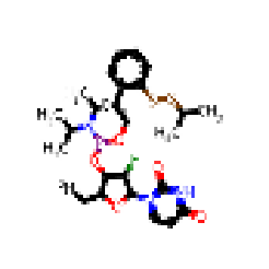 [2H]CC1OC(n2ccc(=O)[nH]c2=O)C(F)C1OP(OCCc1ccccc1SSC(C)C)N(C(C)C)C(C)C